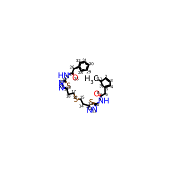 CC1C=CC=C(CC(=O)Nc2nnc(CCSCCc3nnc(NC(=O)Cc4ccccc4)s3)s2)C1